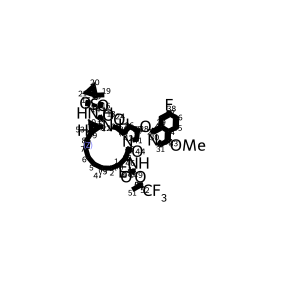 CC[C@@H]1C[C@H](C)CC/C=C\[C@@H]2C[C@@]2(C(=O)NS(=O)(=O)C2(C)CC2)NC(=O)[C@@H]2C[C@@H](Oc3ncc(OC)c4ccc(F)cc34)CN2C(=O)[C@H]1NC(=O)O[C@H](C)C(F)(F)F